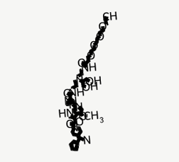 C#CCOCCOCCOCCOCCC(=O)NCCCN(CCCNC(=O)c1ncn(-c2ncc(OC)c3c(C(=O)C(=O)N4CCC(=C(C#N)c5ccccc5)CC4)c[nH]c23)n1)C(CO)CO